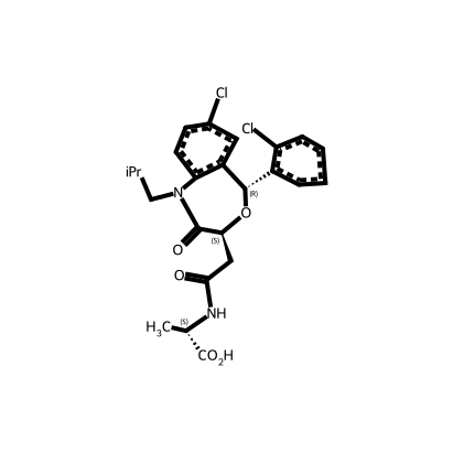 CC(C)CN1C(=O)[C@H](CC(=O)N[C@@H](C)C(=O)O)O[C@@H](c2ccccc2Cl)c2cc(Cl)ccc21